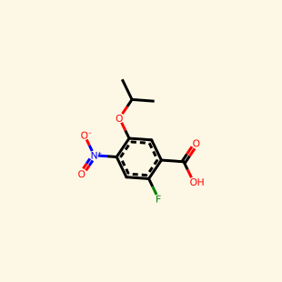 CC(C)Oc1cc(C(=O)O)c(F)cc1[N+](=O)[O-]